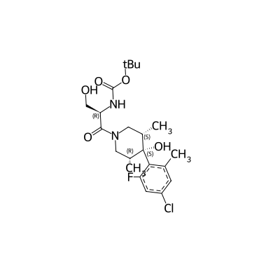 Cc1cc(Cl)cc(F)c1[C@@]1(O)[C@H](C)CN(C(=O)[C@@H](CO)NC(=O)OC(C)(C)C)C[C@@H]1C